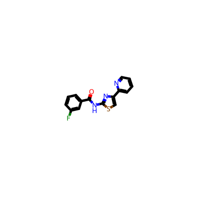 O=C(Nc1nc(-c2ccccn2)cs1)c1cccc(F)c1